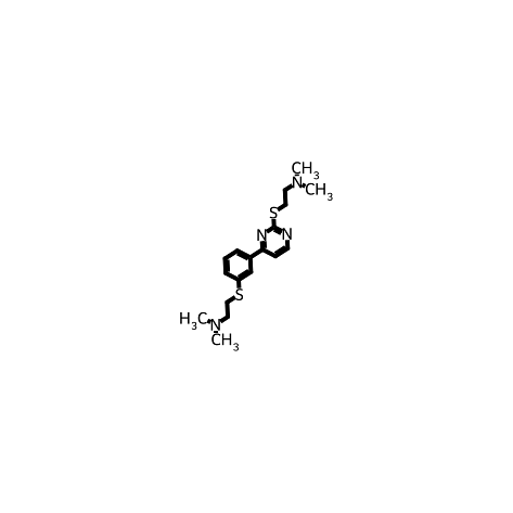 CN(C)CCSc1cccc(-c2ccnc(SCCN(C)C)n2)c1